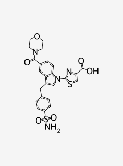 NS(=O)(=O)c1ccc(Cc2cn(-c3nc(C(=O)O)cs3)c3ccc(C(=O)N4CCOCC4)cc23)cc1